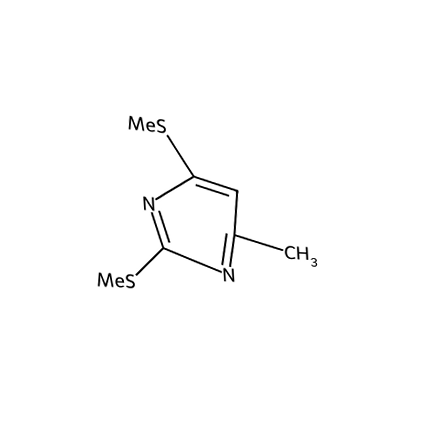 CSc1cc(C)nc(SC)n1